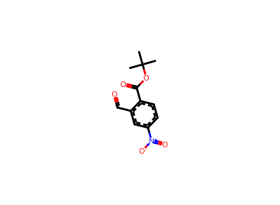 CC(C)(C)OC(=O)c1ccc([N+](=O)[O-])cc1C=O